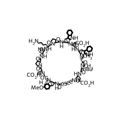 CCCC[C@H]1C(=O)N[C@@H](CCC(=O)O)C(=O)NCCSCC(=O)N[C@@H](Cc2ccc(OC)cc2)C(=O)N(C)CC(=O)N[C@@H](CC(=O)O)C(=O)N2CCCC2C(=O)N[C@@H](CN)C(=O)N[C@@H](CCCCN)C(=O)N2CCCC2C(=O)N[C@@H](Cc2c[nH]c3ccccc23)C(=O)N[C@@H](CC(=O)O)C(=O)N[C@@H](Cc2c[nH]c3ccccc23)C(=O)N(C)CC(=O)N1C